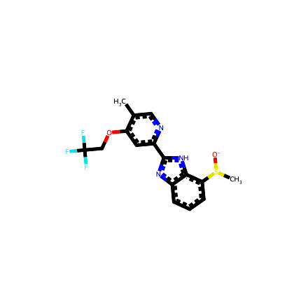 Cc1cnc(-c2nc3cccc([S+](C)[O-])c3[nH]2)cc1OCC(F)(F)F